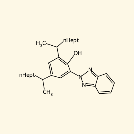 CCCCCCCC(C)c1cc(C(C)CCCCCCC)c(O)c(-n2nc3ccccc3n2)c1